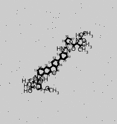 COC[C@@H]1CN(C(=O)O)[C@](c2nc3ccc4cc5c(cc4c3[nH]2)OCc2cc(-c3ccc4nc([C@@H]6CCCN6C(=O)[C@@H](NC(=O)OC)C(C)C)[nH]c4c3)ccc2-5)(C(C)(C)C)C1